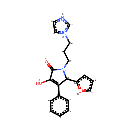 O=C1C(O)=C(c2ccccc2)C(c2ccco2)N1CCCn1ccnc1